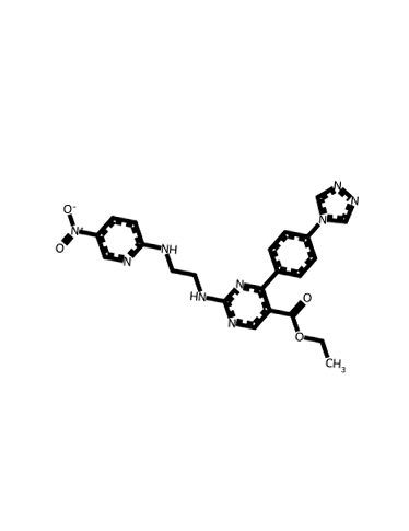 CCOC(=O)c1cnc(NCCNc2ccc([N+](=O)[O-])cn2)nc1-c1ccc(-n2cnnc2)cc1